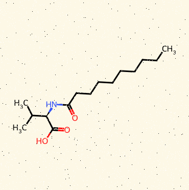 CCCCCCCCCC(=O)N[C@@H](C(=O)O)C(C)C